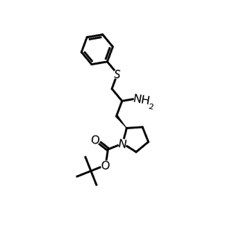 CC(C)(C)OC(=O)N1CCC[C@@H]1CC(N)CSc1ccccc1